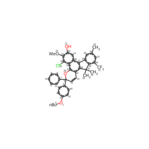 CCCCOc1ccc(C2(c3ccccc3)C=Cc3c4c(c5cc(O)c(OC)c(Cl)c5c3O2)-c2cc(C)cc(C(F)(F)F)c2C4(C)C)cc1